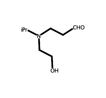 CC(C)N(CCO)CCC=O